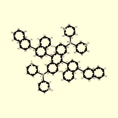 c1cncc(N(c2cccnc2)c2ccc3c(-c4ccc(-c5ccc6ccccc6c5)c5ccccc45)c4cc(N(c5cccnc5)c5cccnc5)ccc4c(-c4ccc(-c5ccc6ccccc6c5)c5ccccc45)c3c2)c1